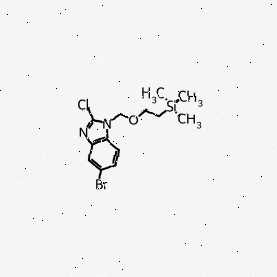 C[Si](C)(C)CCOCn1c(Cl)nc2cc(Br)ccc21